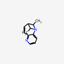 CC1C2C=Cc3ncccc3N1C2C